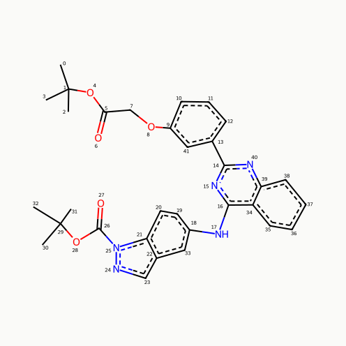 CC(C)(C)OC(=O)COc1cccc(-c2nc(Nc3ccc4c(cnn4C(=O)OC(C)(C)C)c3)c3ccccc3n2)c1